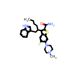 CCCCC(Cc1c[nH]c2ccccc12)c1c(C(N)=O)sc2cc(N3CCN(C)CC3)c(F)cc12